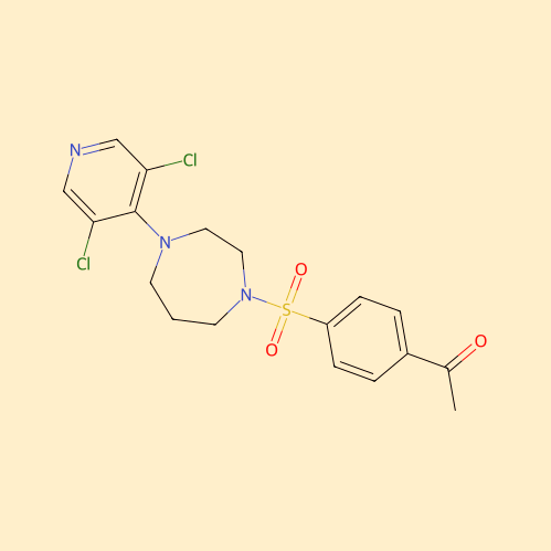 CC(=O)c1ccc(S(=O)(=O)N2CCCN(c3c(Cl)cncc3Cl)CC2)cc1